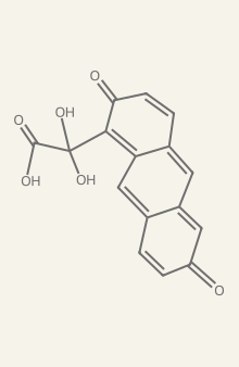 O=C1C=Cc2cc3c(cc2=C1)C=CC(=O)C=3C(O)(O)C(=O)O